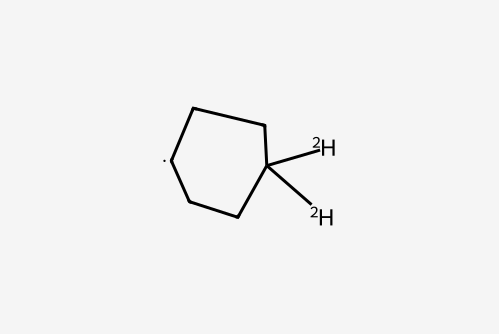 [2H]C1([2H])CC[CH]CC1